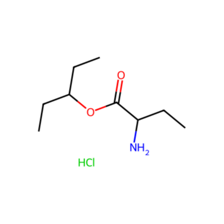 CCC(CC)OC(=O)C(N)CC.Cl